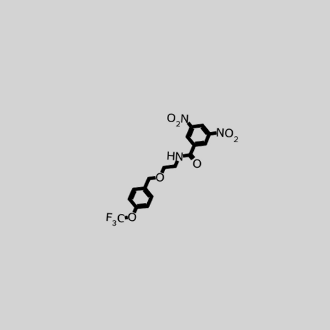 O=C(NCCOCc1ccc(OC(F)(F)F)cc1)c1cc([N+](=O)[O-])cc([N+](=O)[O-])c1